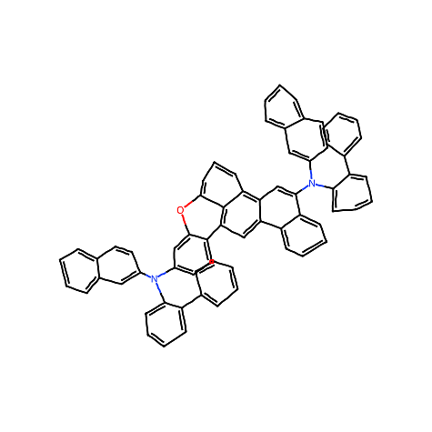 c1ccc(-c2ccccc2N(c2ccc3c(c2)Oc2cccc4c2c-3cc2c3ccccc3c(N(c3ccc5ccccc5c3)c3ccccc3-c3ccccc3)cc42)c2ccc3ccccc3c2)cc1